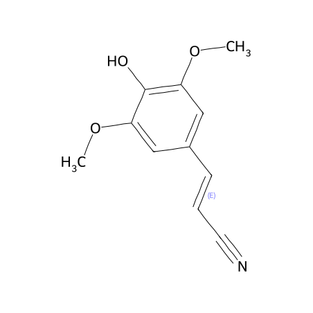 COc1cc(/C=C/C#N)cc(OC)c1O